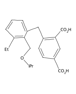 CCc1cccc(Cc2ccc(C(=O)O)cc2C(=O)O)c1COC(C)C